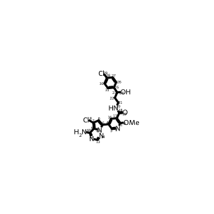 COc1ncc(-c2cc(Cl)c3c(N)ncnn23)cc1C(=O)NCCC(O)c1ccc(Cl)cc1